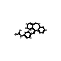 FC(F)Oc1ccc(C=C2c3ccccc3CCc3ccccc32)cc1